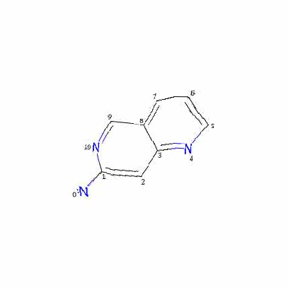 [N]c1cc2ncccc2cn1